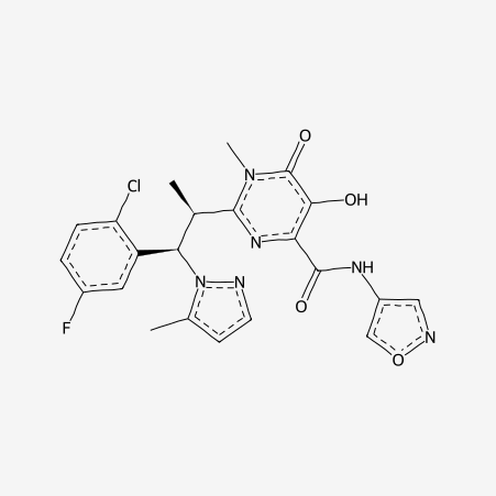 Cc1ccnn1[C@@H](c1cc(F)ccc1Cl)[C@@H](C)c1nc(C(=O)Nc2cnoc2)c(O)c(=O)n1C